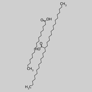 CCCCCCCCCCCCCCCCC(CCCCCCCCCCCCCC)C(=O)O.CCCCCCCCCCCCCCCCCC(=O)O